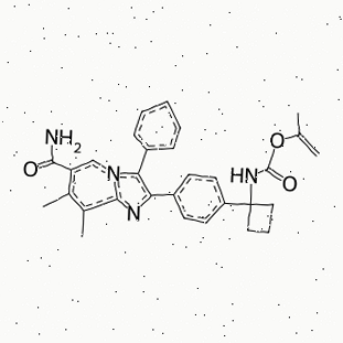 C=C(C)OC(=O)NC1(c2ccc(-c3nc4c(C)c(C)c(C(N)=O)cn4c3-c3ccccc3)cc2)CCC1